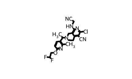 Cc1nc(OCC(F)F)ccc1C(C)N1CCc2c(C#N)c(Cl)nc(NCC#N)c2C1